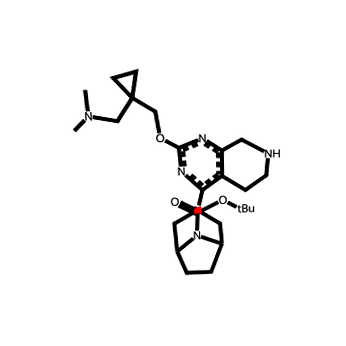 CN(C)CC1(COc2nc3c(c(N4CC5CCC(C4)N5C(=O)OC(C)(C)C)n2)CCNC3)CC1